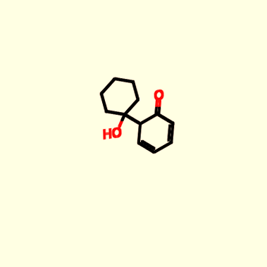 O=C1C=CC=CC1C1(O)CCCCC1